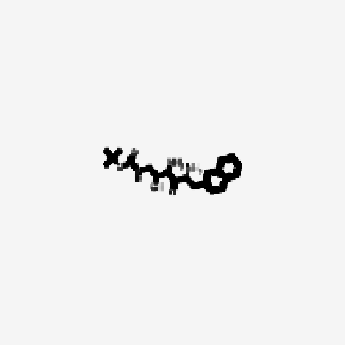 CC(C)(C)OC(=O)NCC(O)C(N)C(=O)[C@H](N)Cc1ccc2ccccc2c1